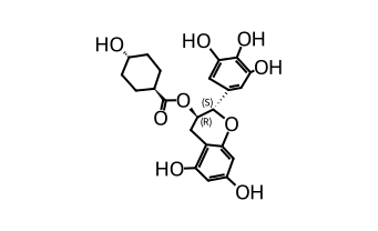 O=C(O[C@@H]1Cc2c(O)cc(O)cc2O[C@H]1c1cc(O)c(O)c(O)c1)[C@H]1CC[C@H](O)CC1